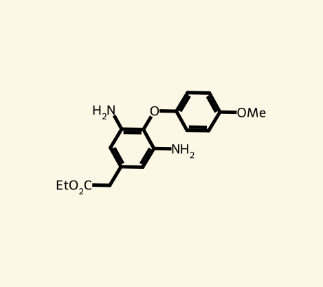 CCOC(=O)Cc1cc(N)c(Oc2ccc(OC)cc2)c(N)c1